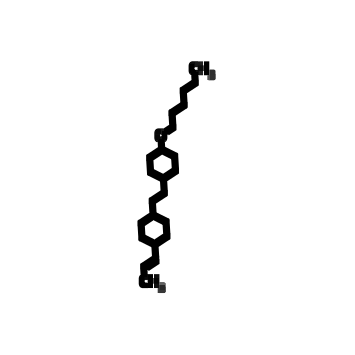 C/C=C/C1CCC(CCC2CCC(OCCCCCC)CC2)CC1